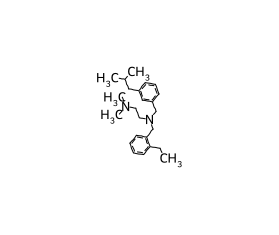 CCc1ccccc1CN(CCN(C)C)Cc1cccc(CC(C)C)c1